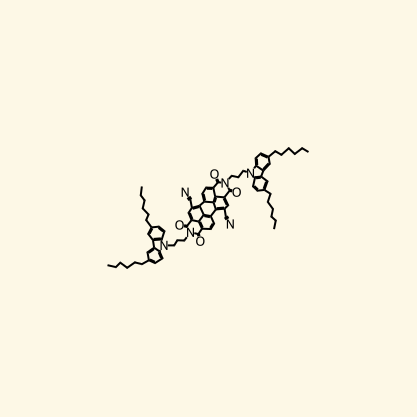 CCCCCCc1ccc2c(c1)c1cc(CCCCCC)ccc1n2CCCN1C(=O)c2ccc3c4c(C#N)cc5c6c(ccc(c7c(C#N)cc(c2c37)C1=O)c64)C(=O)N(CCCn1c2ccc(CCCCCC)cc2c2cc(CCCCCC)ccc21)C5=O